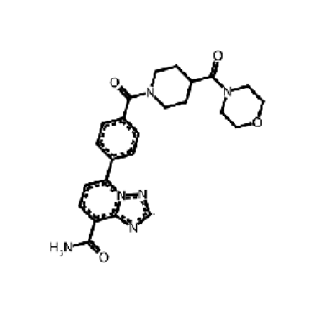 NC(=O)c1ccc(-c2ccc(C(=O)N3CCC(C(=O)N4CCOCC4)CC3)cc2)n2n[c]nc12